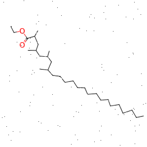 CCCCCCCCCCCCCCCCC(C)CC(C)CC(C)CC(C)C(=O)OCC